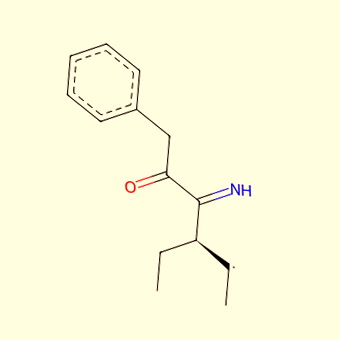 C[CH][C@@H](CC)C(=N)C(=O)Cc1ccccc1